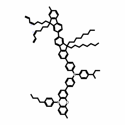 C=C/C=C\CCCC1(CCC/C=C\C=C)c2cc(C)ccc2-c2ccc(-c3ccc4c(c3)C(CCCCCCCC)(CCCCCCCC)c3cc(-c5ccc(N(c6ccc(-c7ccc8c(c7)Oc7cc(C)ccc7N8c7ccc(CCCC)cc7)cc6)c6ccc(C(C)CC)cc6)cc5)ccc3-4)cc21